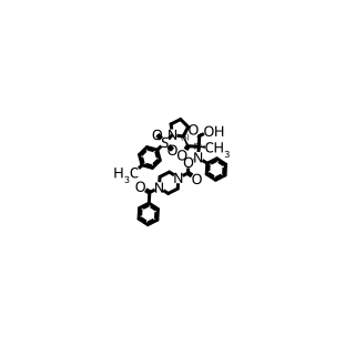 Cc1ccc(S(=O)(=O)N2CCC[C@H]2C(=O)[C@](C)(C(=O)O)N(OC(=O)N2CCN(C(=O)c3ccccc3)CC2)c2ccccc2)cc1